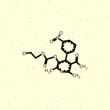 CC(=O)c1c(C)nc(C)c(OC(=O)OCCCl)c1-c1cccc([N+](=O)[O-])c1